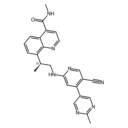 CNC(=O)c1ccnc2c([C@H](C)CNc3cc(-c4cnc(C)nc4)c(C#N)cn3)cccc12